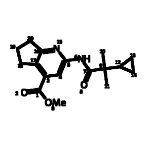 COC(=O)c1cc(NC(=O)C(C)(C)C2CC2)nc2c1CCC2